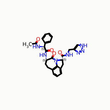 CC(=O)N[C@H](C(=O)N[C@H]1CCc2cccc3c2N(C1=O)[C@H](C(=O)NCc1c[nH]nn1)C3)c1ccccc1